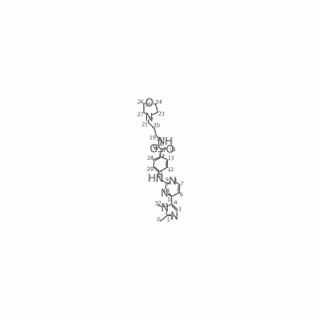 Cc1ncc(-c2ccnc(Nc3ccc(S(=O)(=O)NCCCN4CCOCC4)cc3)n2)n1C